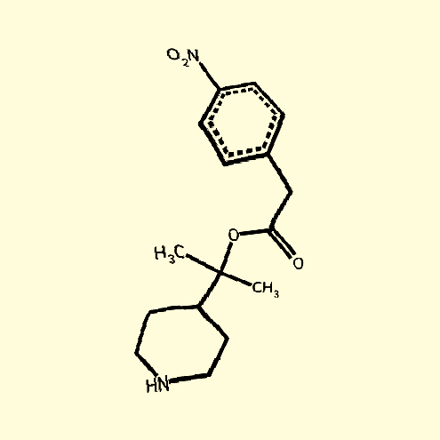 CC(C)(OC(=O)Cc1ccc([N+](=O)[O-])cc1)C1CCNCC1